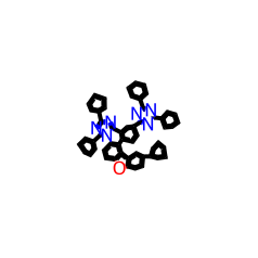 c1ccc(-c2ccc3oc4cccc(-c5ccc(-c6nc(-c7ccccc7)nc(-c7ccccc7)n6)cc5-c5nc(-c6ccccc6)nc(-c6ccccc6)n5)c4c3c2)cc1